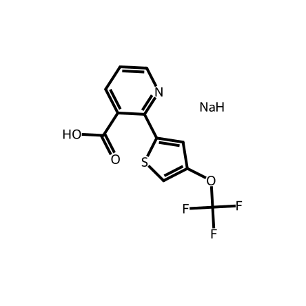 O=C(O)c1cccnc1-c1cc(OC(F)(F)F)cs1.[NaH]